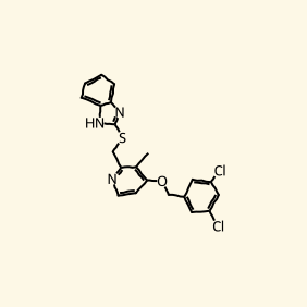 Cc1c(OCc2cc(Cl)cc(Cl)c2)ccnc1CSc1nc2ccccc2[nH]1